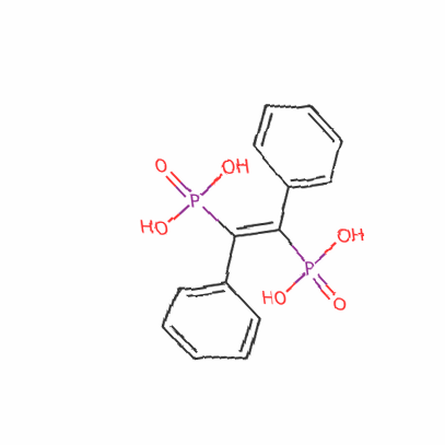 O=P(O)(O)C(=C(c1ccccc1)P(=O)(O)O)c1ccccc1